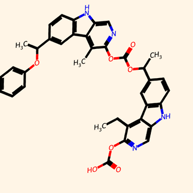 CCc1c(OC(=O)O)ncc2[nH]c3ccc(C(C)OC(=O)Oc4ncc5[nH]c6ccc(C(C)Oc7ccccc7)cc6c5c4C)cc3c12